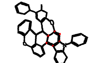 CC1CC2=C(C=C1C1C=CC=CC1)C(C1c3ccccc3Oc3cccc(C4CC=Cc5c4c4c(n5-c5ccccc5)CCC=C4)c31)C1C=CC=CC1O2